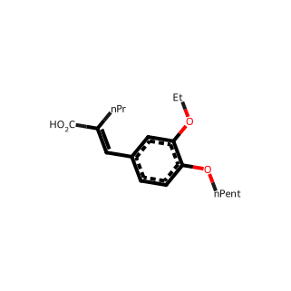 CCCCCOc1ccc(/C=C(\CCC)C(=O)O)cc1OCC